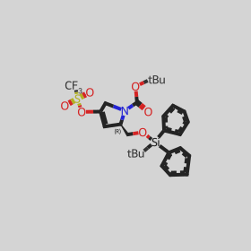 CC(C)(C)OC(=O)N1CC(OS(=O)(=O)C(F)(F)F)=C[C@@H]1CO[Si](c1ccccc1)(c1ccccc1)C(C)(C)C